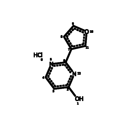 Cl.Oc1ccnc(-c2ccoc2)n1